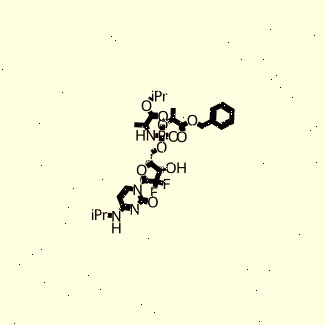 CC(C)Nc1ccn([C@@H]2O[C@H](COP(=O)(NC(C)C(=O)OC(C)C)OC(C)C(=O)OCc3ccccc3)[C@@H](O)C2(F)F)c(=O)n1